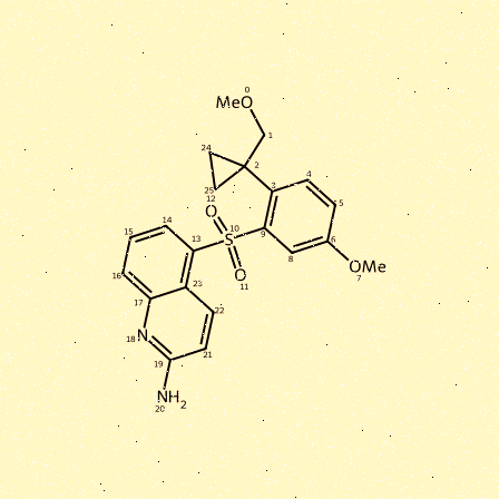 COCC1(c2c[c]c(OC)cc2S(=O)(=O)c2cccc3nc(N)ccc23)CC1